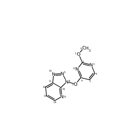 COc1nccc(On2nnc3cccnc32)n1